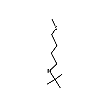 CSCCCCNC(C)(C)C